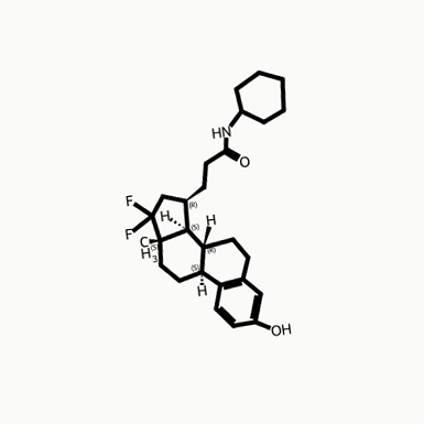 C[C@]12CC[C@@H]3c4ccc(O)cc4CC[C@H]3[C@@H]1[C@H](CCC(=O)NC1CCCCC1)CC2(F)F